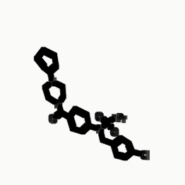 CCCS(=O)(=O)N(Cc1ccc(Cl)cc1)c1ccc(C(=O)N2CCN(c3ccccc3)CC2)cc1